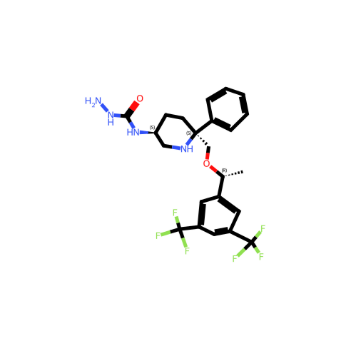 C[C@@H](OC[C@@]1(c2ccccc2)CC[C@H](NC(=O)NN)CN1)c1cc(C(F)(F)F)cc(C(F)(F)F)c1